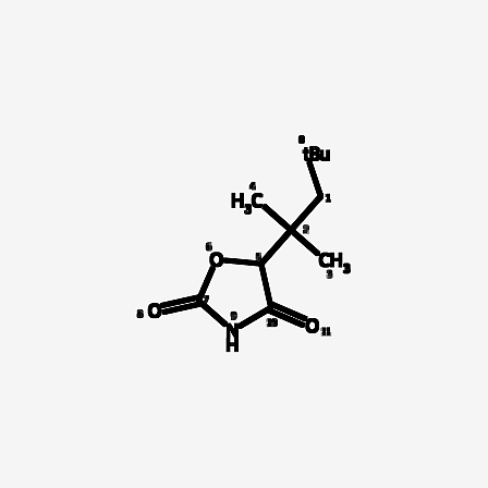 CC(C)(C)CC(C)(C)C1OC(=O)NC1=O